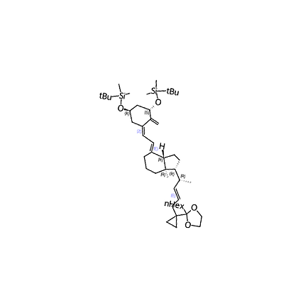 C=C1/C(=C\C=C2/CCC[C@]3(C)[C@@H]([C@H](C)/C=C/CC4(C5(CCCCCC)OCCO5)CC4)CC[C@@H]23)C[C@@H](O[Si](C)(C)C(C)(C)C)C[C@@H]1O[Si](C)(C)C(C)(C)C